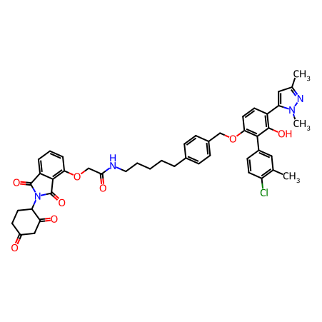 Cc1cc(-c2ccc(OCc3ccc(CCCCCNC(=O)COc4cccc5c4C(=O)N(C4CCC(=O)CC4=O)C5=O)cc3)c(-c3ccc(Cl)c(C)c3)c2O)n(C)n1